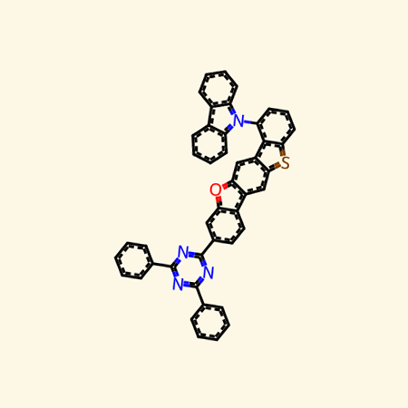 c1ccc(-c2nc(-c3ccccc3)nc(-c3ccc4c(c3)oc3cc5c(cc34)sc3cccc(-n4c6ccccc6c6ccccc64)c35)n2)cc1